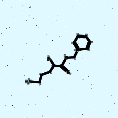 NCCCC(Br)C(=O)OCc1ccccc1